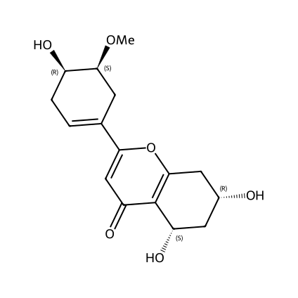 CO[C@H]1CC(c2cc(=O)c3c(o2)C[C@H](O)C[C@@H]3O)=CC[C@H]1O